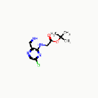 CC(C)(C)OC(=O)CNc1nc(Cl)cnc1C=N